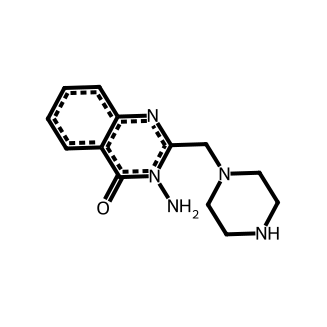 Nn1c(CN2CCNCC2)nc2ccccc2c1=O